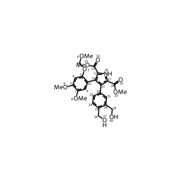 COCOc1cc(OC)c(OC)cc1-c1c(C(=O)OC)[nH]c(C(=O)OC)c1-c1ccc(CO)c(CO)c1